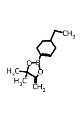 C=C1OB(C2=CCC(CC)CC2)OC1(C)C